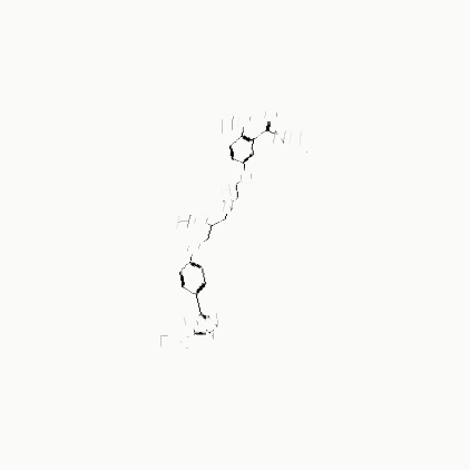 NC(=O)c1cc(OCCNCC(O)COc2ccc(-c3nnc(C(F)(F)F)o3)cc2)ccc1O